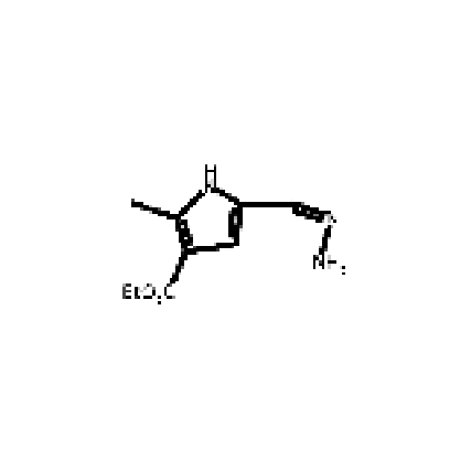 CCOC(=O)c1cc(/C=N\N)[nH]c1C